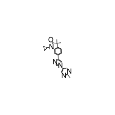 Cc1ncc(-n2cnc(-c3ccc4c(c3)N(C3CC3)C(=O)C4(C)C)c2)cn1